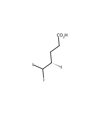 O=C(O)CC[C@H](I)C(I)I